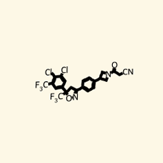 N#CCC(=O)N1CC(c2ccc(C3=NOC(c4cc(Cl)c(Cl)c(C(F)(F)F)c4)(C(F)(F)F)C3)cc2)C1